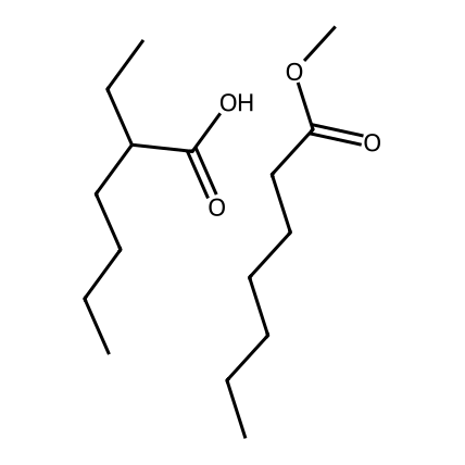 CCCCC(CC)C(=O)O.CCCCCCC(=O)OC